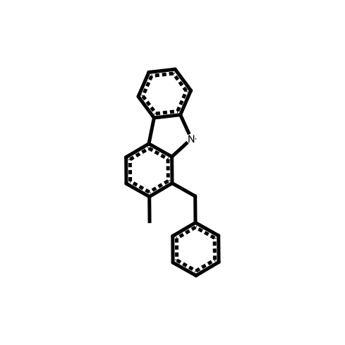 Cc1ccc2c(c1Cc1ccccc1)[N]c1ccccc1-2